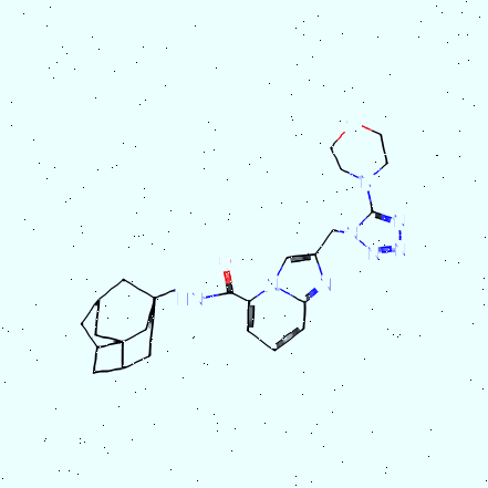 O=C(NCC12CC3CC4CC(C1)C4(C3)C2)c1cccc2nc(Cn3nnnc3N3CCOCC3)cn12